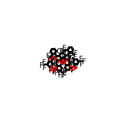 Cc1cc(C(F)(F)F)c(B(c2c(C)cc(C(F)(F)F)cc2C(F)(F)F)c2cc(-c3c(C(F)(F)F)cccc3C(F)(F)F)c3ccc4c(-c5c(C)cccc5C(F)(F)F)cc(B(c5c(C(F)(F)F)cc(C(F)(F)F)cc5C(F)(F)F)c5c(C(F)(F)F)cc(C(F)(F)F)cc5C(F)(F)F)c5ccc2c3c54)c(C(F)(F)F)c1